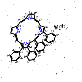 C1=Cc2cc3[nH]c(c(-c4ccccc4)c4nc(cc5ccc(cc1n2)[nH]5)C=C4c1ccccc1)c(-c1ccccc1)c3-c1ccccc1.[MgH2]